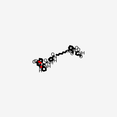 O=C1CCC(N2C(=O)c3cccc(NCCCCCCCNC(=O)c4ccc(NC(=O)[C@@H]5NC6(CCCCC6)[C@@]6(C(=O)Nc7cc(Cl)ccc76)[C@H]5c5cccc(Cl)c5F)cc4)c3C2=O)C(=O)N1